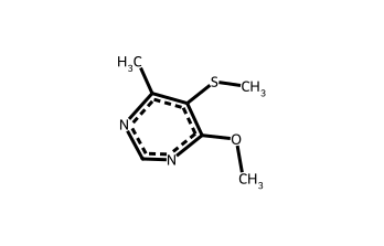 COc1ncnc(C)c1SC